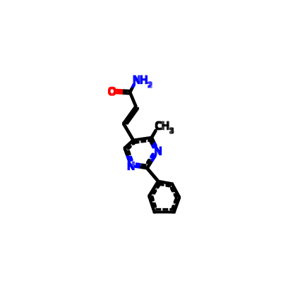 Cc1nc(-c2ccccc2)ncc1C=CC(N)=O